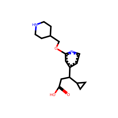 O=C(O)CC(c1ccnc(OCC2CCNCC2)c1)C1CC1